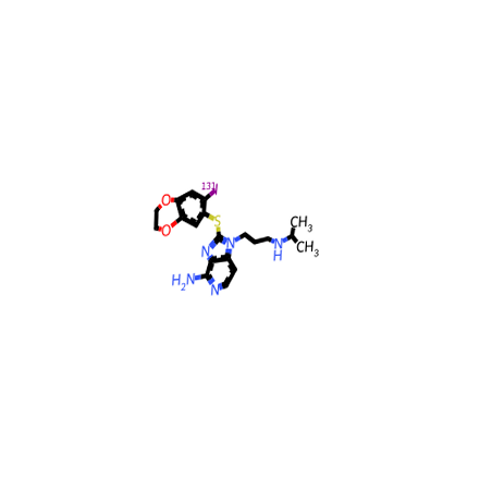 CC(C)NCCCn1c(Sc2cc3c(cc2[131I])OCCO3)nc2c(N)nccc21